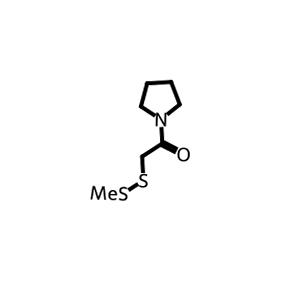 CSSCC(=O)N1CCCC1